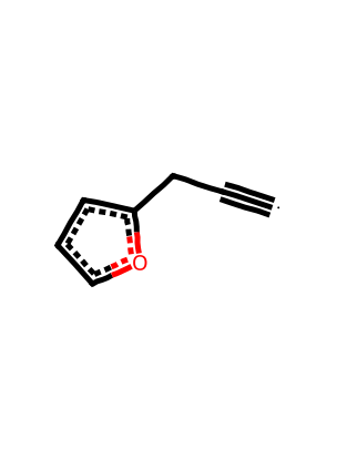 [C]#CCc1ccco1